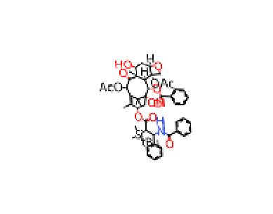 CC(=O)O[C@H]1C(=O)[C@@]2(C)[C@H]([C@H](OC(=O)c3ccccc3)[C@]3(O)C[C@H](OC(=O)[C@@H]([C@@H](NC(=O)c4ccccc4)c4ccccc4)[Si](C)(C)C(C)(C)C)C(C)=C1C3(C)C)[C@]1(OC(C)=O)CO[C@@H]1C[C@@H]2O